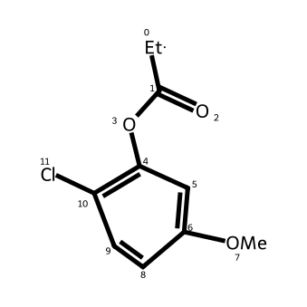 C[CH]C(=O)Oc1cc(OC)ccc1Cl